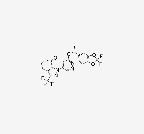 C[C@H](Oc1cc(-n2nc(C(F)(F)F)c3c2C(=O)CCC3)cnn1)c1ccc2c(c1)OC(F)(F)O2